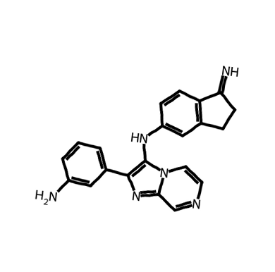 N=C1CCc2cc(Nc3c(-c4cccc(N)c4)nc4cnccn34)ccc21